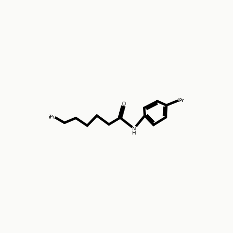 CC(C)CCCCCC(=O)Nc1ccc(C(C)C)cc1